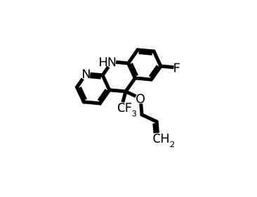 C=CCOC1(C(F)(F)F)c2cc(F)ccc2Nc2ncccc21